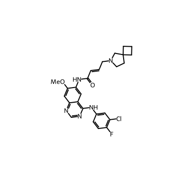 COc1cc2ncnc(Nc3ccc(F)c(Cl)c3)c2cc1NC(=O)C=CCN1CCC2(CCC2)C1